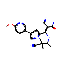 COc1ccc(-c2c[nH]c(/C(NC(C)C(C)(C)C#N)=C(\C=N)C(N)=O)c2)cn1